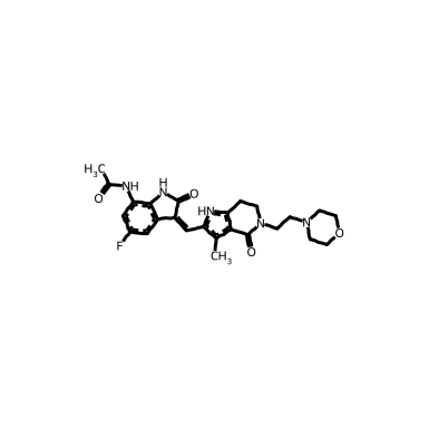 CC(=O)Nc1cc(F)cc2c1NC(=O)/C2=C\c1[nH]c2c(c1C)C(=O)N(CCN1CCOCC1)CC2